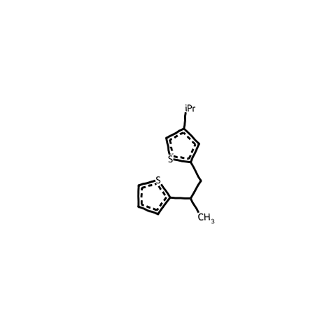 CC(C)c1csc(CC(C)c2cccs2)c1